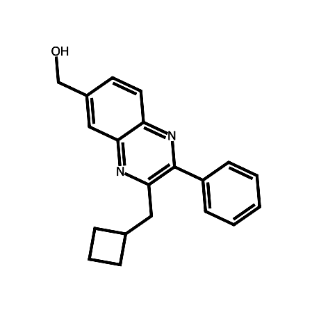 OCc1ccc2nc(-c3ccccc3)c(CC3CCC3)nc2c1